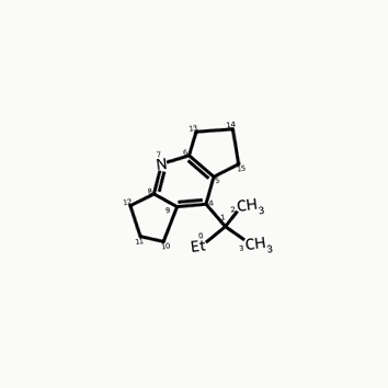 CCC(C)(C)c1c2c(nc3c1CCC3)CCC2